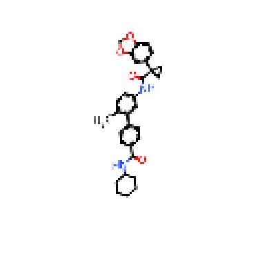 Cc1ccc(NC(=O)C2(c3ccc4c(c3)OCO4)CC2)cc1-c1ccc(C(=O)NC2CCCCC2)cc1